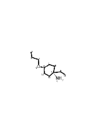 CCCO[C@H]1CC[C@@](N)(CC)CC1